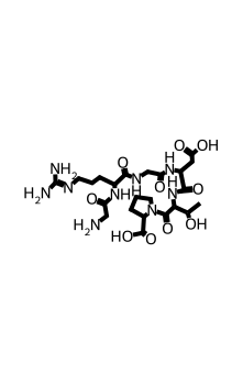 CC(O)C(NC(=O)C(CC(=O)O)NC(=O)CNC(=O)C(CCCN=C(N)N)NC(=O)CN)C(=O)N1CCCC1C(=O)O